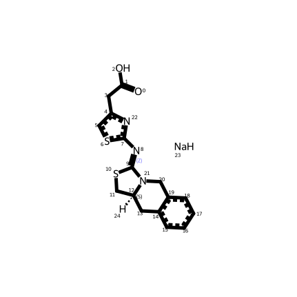 O=C(O)Cc1csc(/N=C2\SC[C@@H]3Cc4ccccc4CN23)n1.[NaH]